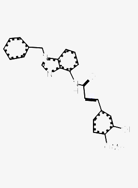 COc1ccc(/C=C/C(=O)Nc2cccc3c2ncn3Cc2ccccc2)cc1O